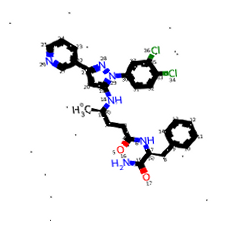 C[C@H](CCC(=O)N[C@@H](Cc1ccccc1)C(N)=O)Nc1cc(-c2cccnc2)nn1-c1ccc(Cl)c(Cl)c1